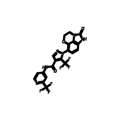 O=C(Nc1ccnc(C(F)(F)F)c1)c1cnn(-c2ccc3[nH]c(=O)n4c3c2OCC4)c1C(F)(F)F